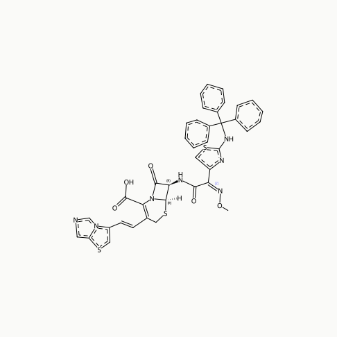 CO/N=C(\C(=O)N[C@@H]1C(=O)N2C(C(=O)O)=C(C=Cc3csc4cncn34)CS[C@H]12)c1csc(NC(c2ccccc2)(c2ccccc2)c2ccccc2)n1